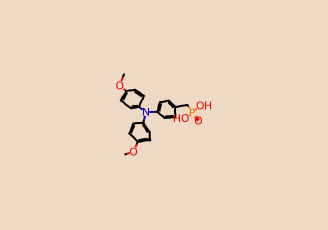 COc1ccc(N(c2ccc(CP(=O)(O)O)cc2)c2ccc(OC)cc2)cc1